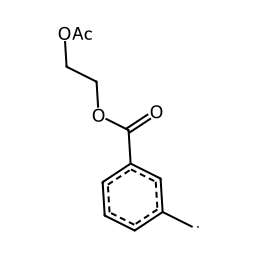 [CH2]c1cccc(C(=O)OCCOC(C)=O)c1